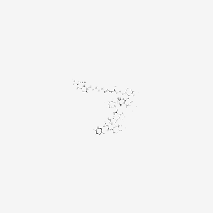 CC[C@H](C)[C@@H]([C@@H](CC(=O)N1CCC[C@H]1[C@H](OC)[C@@H](C)C(=O)N[C@@]1(C(=O)N2CCCCO2)C[C@@H]1c1ccccc1)OC)N(C)C(=O)[C@@H](NC(=O)[C@H](C(C)C)N(C)CCCC(=O)NNC(=O)CCCCCN1C(=O)CC(C(=O)[C@@H](N)CS)C1=O)C(C)C